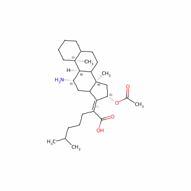 CC(=O)O[C@H]1C[C@@]2(C)C(C[C@H](N)[C@@H]3C2CCC2CCCC[C@@]23C)/C1=C(\CCCC(C)C)C(=O)O